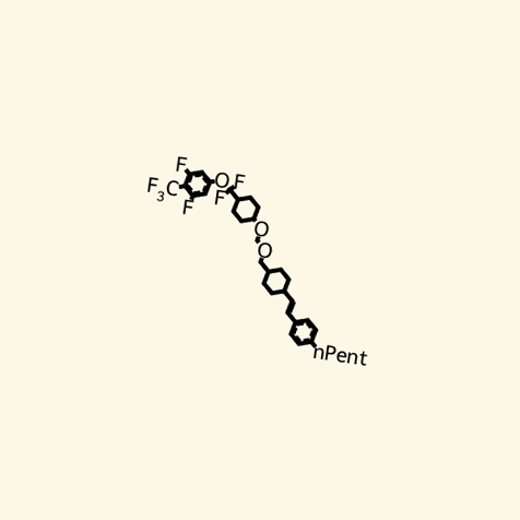 CCCCCc1ccc(/C=C/C2CCC(COCOC3CCC(C(F)(F)Oc4cc(F)c(C(F)(F)F)c(F)c4)CC3)CC2)cc1